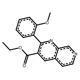 CCOC(=O)c1cc2ccncc2nc1-c1ccccc1OC